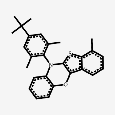 Cc1cc(C(C)(C)C)cc(C)c1N1c2ccccc2Oc2c1sc1c(C)cccc21